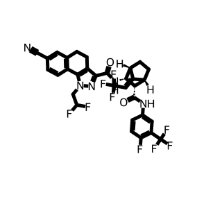 N#Cc1ccc2c(c1)CCc1c(C(=O)N[C@H]3[C@@H](C(=O)Nc4ccc(F)c(C(F)(F)F)c4)[C@H]4CC[C@@H]3/C4=C\C(F)(F)F)nn(CC(F)F)c1-2